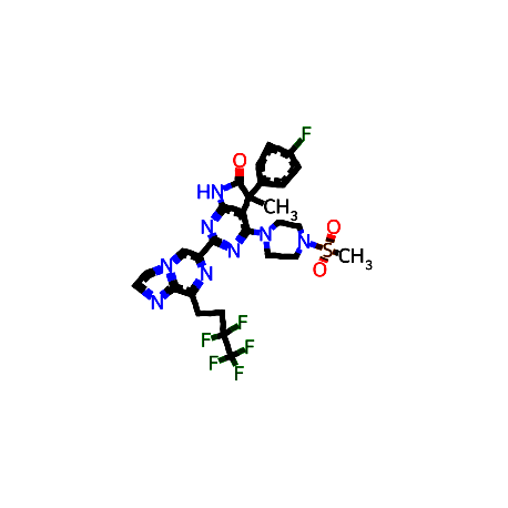 CC1(c2ccc(F)cc2)C(=O)Nc2nc(-c3cn4ccnc4c(CCC(F)(F)C(F)(F)F)n3)nc(N3CCN(S(C)(=O)=O)CC3)c21